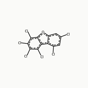 Clc1cc(Cl)c2c(c1)oc1c(Cl)c(Cl)c(Cl)c(Cl)c12